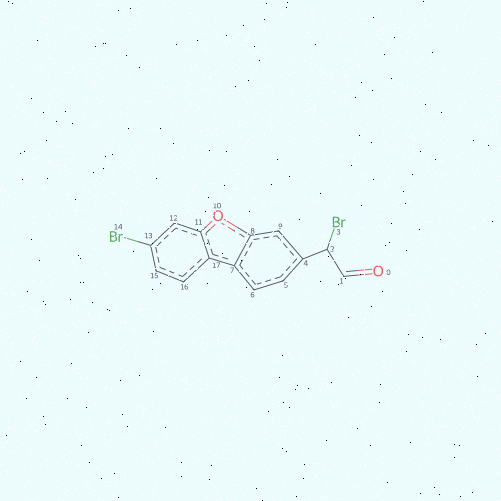 O=CC(Br)c1ccc2c(c1)oc1cc(Br)ccc12